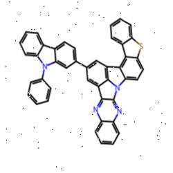 c1ccc(-n2c3ccccc3c3ccc(-c4cc5c6nc7ccccc7nc6n6c7ccc8sc9ccccc9c8c7c(c4)c56)cc32)cc1